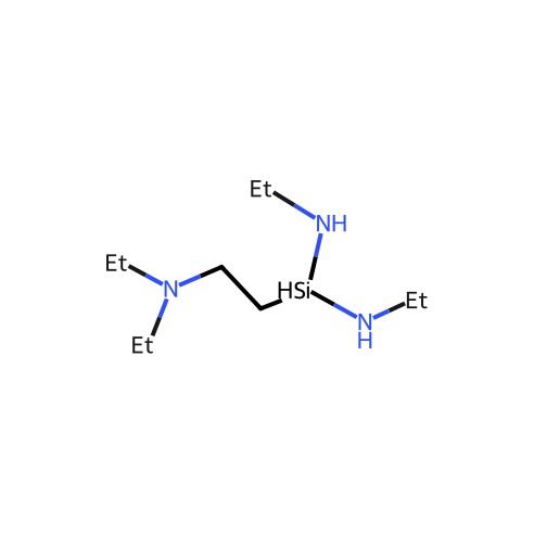 CCN[SiH](CCN(CC)CC)NCC